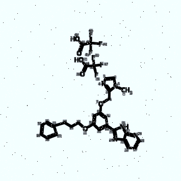 Cn1ccnc1COc1cc(OCCCc2ccccc2)cc(-c2nc3cccnc3[nH]2)c1.O=C(O)C(F)(F)F.O=C(O)C(F)(F)F